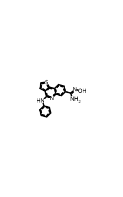 N/C(=N\O)c1ccc2c(c1)nc(Nc1ccccc1)c1ccsc12